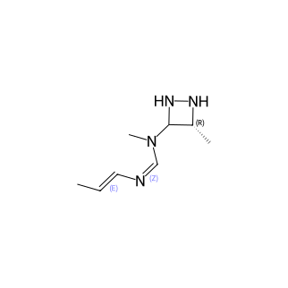 C/C=C/N=C\N(C)C1NN[C@@H]1C